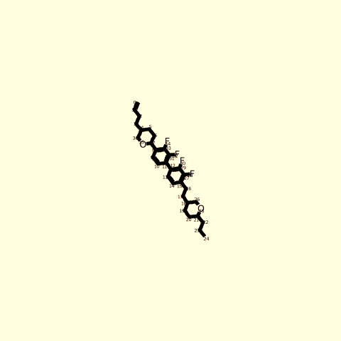 C=CCCC1CCC(c2ccc(-c3ccc(CCC4CCC(CCC)OC4)c(F)c3F)c(F)c2F)OC1